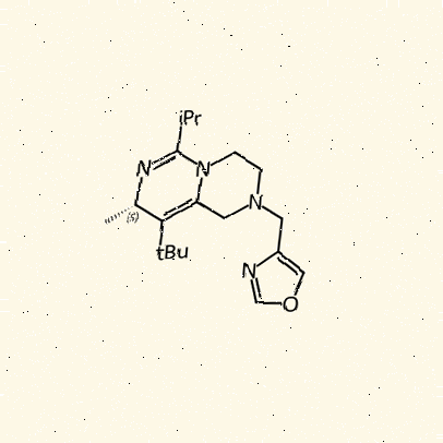 CC(C)C1=N[C@@H](C)C(C(C)(C)C)=C2CN(Cc3cocn3)CCN12